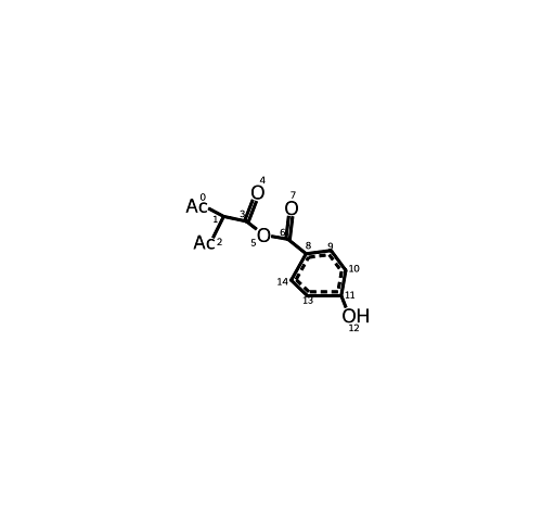 CC(=O)C(C(C)=O)C(=O)OC(=O)c1ccc(O)cc1